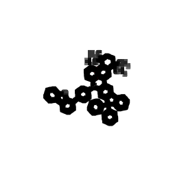 CC1(C)CCC(C)(C)c2cc(-c3cc4c(cc3N(c3ccccc3)c3ccc(-c5cccc6c5oc5ccccc56)cc3)C(c3ccccc3)(c3ccccc3)c3ccccc3-4)ccc21